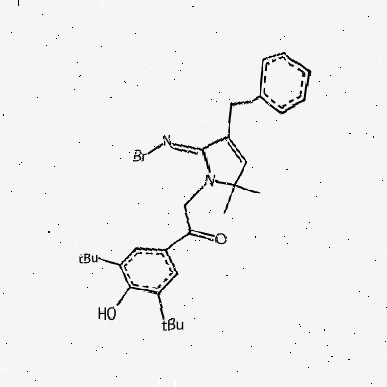 CC(C)(C)c1cc(C(=O)CN2/C(=N\Br)C(Cc3ccccc3)=CC2(C)C)cc(C(C)(C)C)c1O